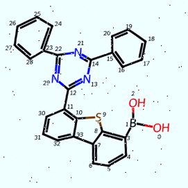 OB(O)c1cccc2c1sc1c(-c3nc(-c4ccccc4)nc(-c4ccccc4)n3)cccc12